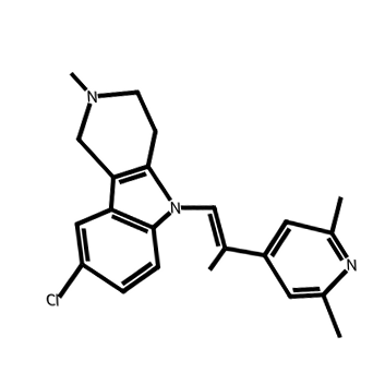 CC(=Cn1c2c(c3cc(Cl)ccc31)CN(C)CC2)c1cc(C)nc(C)c1